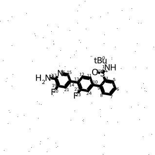 CC(C)(C)N[S+]([O-])c1ccccc1-c1ccc(-c2cnc(N)c(F)c2)c(F)c1